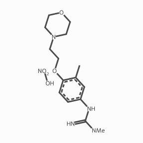 CNC(=N)Nc1ccc(OCCN2CCOCC2)c(C)c1.O=[N+]([O-])O